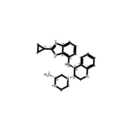 C[C@@H]1CN([C@H]2COc3ccccc3[C@@H]2Nc2cccc3nc(C4CC4)oc23)CCO1